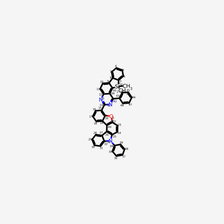 C[Si]1(C)c2ccccc2-c2ccc3nc(-c4cccc5c4oc4ccc6c(c7ccccc7n6-c6ccccc6)c45)nc(-c4ccccc4)c3c21